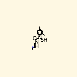 C/C=C/CNC(=O)N(S)c1ccc(C)cc1C